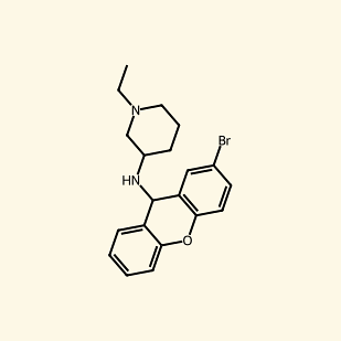 CCN1CCCC(NC2c3ccccc3Oc3ccc(Br)cc32)C1